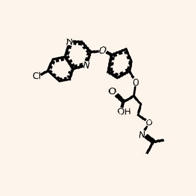 CC(C)=NOCCC(Oc1ccc(Oc2cnc3cc(Cl)ccc3n2)cc1)C(=O)O